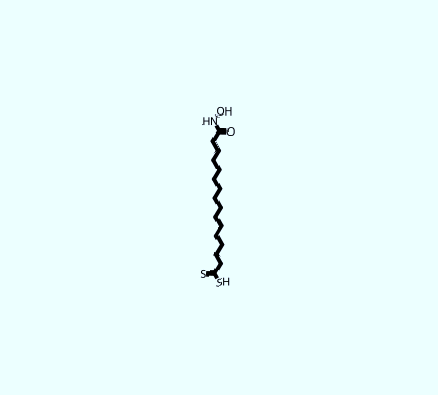 O=C(CCCCCCCCCCCCCCC(=S)S)NO